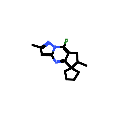 Cc1cc2nc3c(c(Cl)n2n1)CC(C)C31CCCC1